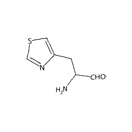 NC([C]=O)Cc1cscn1